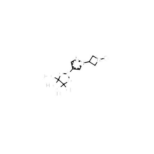 CCN1CC(n2cc(B3OC(C)(C)C(C)(C)O3)cn2)C1